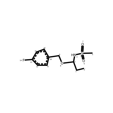 [CH2]CC(NS(C)(=O)=O)OCc1ccc(F)cc1